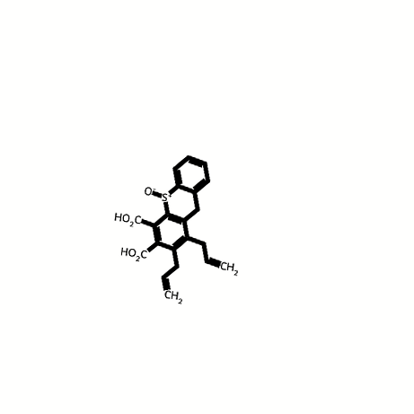 C=CCc1c(CC=C)c(C(=O)O)c(C(=O)O)c2c1Cc1ccccc1[S+]2[O-]